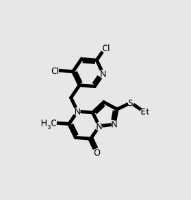 CCSc1cc2n(Cc3cnc(Cl)cc3Cl)c(C)cc(=O)n2n1